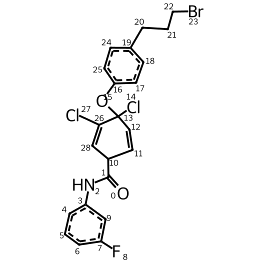 O=C(Nc1cccc(F)c1)C1C=CC(Cl)(Oc2ccc(CCCBr)cc2)C(Cl)=C1